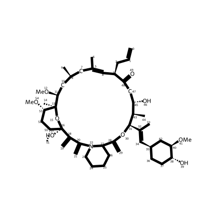 C=CC[C@@H]1/C=C(\C)C[C@H](C)C[C@H](OC)[C@@]2(C)O[C@@](O)(C(=C)C(=C)N3CCCCC3C(=C)O[C@H](/C(C)=C/[C@@H]3CC[C@@H](O)[C@H](OC)C3)[C@H](C)[C@@H](O)CC1=O)[C@H](C)C[C@@H]2OC